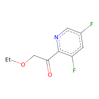 CCOCC(=O)c1ncc(F)cc1F